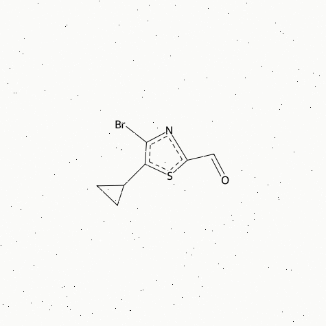 O=Cc1nc(Br)c(C2CC2)s1